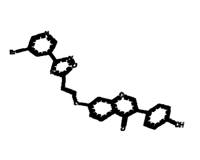 O=c1c(-c2ccc(O)cc2)coc2cc(OCCc3nc(-c4cncc(Br)c4)no3)ccc12